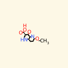 CCOc1ccc2[nH]cc(C(=O)O)c(=O)c2n1